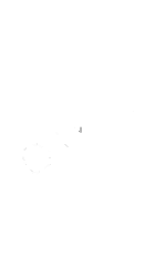 CCCCC(CC)CNS(=O)(=O)c1ccc(C)cc1